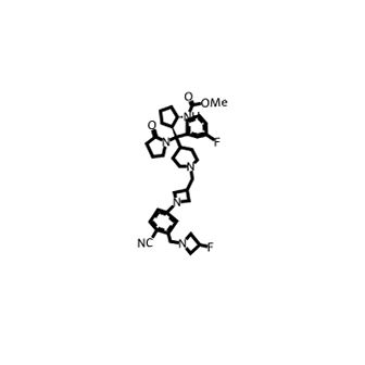 COC(=O)N[C@H]1CCC[C@@H]1C(c1cccc(F)c1)(C1CCN(CC2CN(c3ccc(C#N)c(CN4CC(F)C4)c3)C2)CC1)N1CCCC1=O